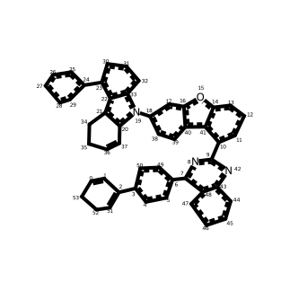 C1=CC(c2ccc(-c3nc(-c4cccc5oc6cc(-n7c8c(c9c(-c%10ccccc%10)cccc97)CCC=C8)ccc6c45)nc4ccccc34)cc2)=CCC1